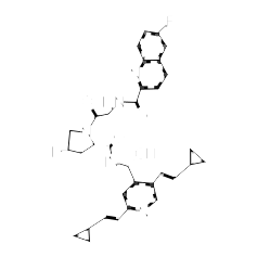 C[C@@H](NC(=O)[C@@H]1C[C@@H](F)CN1C(=O)CNC(=O)c1ccc2cc(F)ccc2n1)c1cc(/C=C/C2CC2)ncc1/C=C/C1CC1